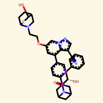 N#Cc1cnn2cc(OCCN3CC4CCC3CC4O)cc(-c3ccc(N4CC5CC(C4)N5C(=O)[C@@H](O)Cc4ccccc4)nc3)c12